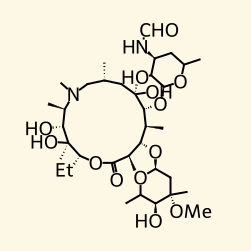 CC[C@H]1OC(=O)[C@H](C)[C@@H](O[C@H]2C[C@](C)(OC)[C@@H](O)C(C)O2)[C@H](C)[C@@H](O[C@@H]2OC(C)C[C@H](NC=O)C2O)[C@](C)(O)C[C@@H](C)CN(C)[C@H](C)[C@@H](O)[C@]1(C)O